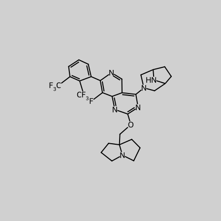 Fc1c(-c2cccc(C(F)(F)F)c2C(F)(F)F)ncc2c(N3CC4CCC(C3)N4)nc(OCC34CCCN3CCC4)nc12